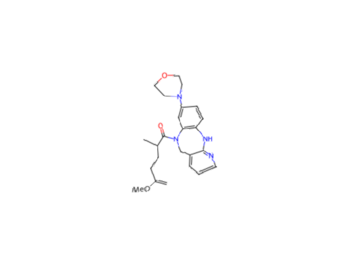 C=C(CCC(C)C(=O)N1Cc2cccnc2Nc2ccc(N3CCOCC3)cc21)OC